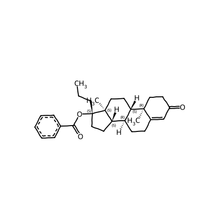 CCC[C@]1(OC(=O)c2ccccc2)CC[C@H]2[C@@H]3CCC4=CC(=O)CC[C@]4(C)[C@H]3CC[C@@]21C